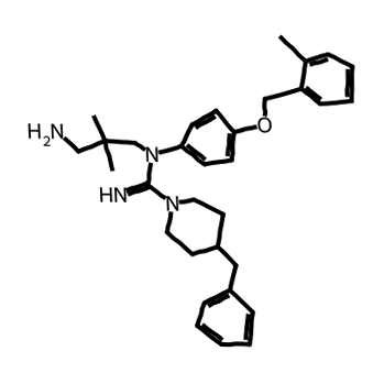 Cc1ccccc1COc1ccc(N(CC(C)(C)CN)C(=N)N2CCC(Cc3ccccc3)CC2)cc1